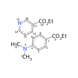 CCOC(=O)c1ccc(N(C)C)cc1.CCOC(=O)c1cccnc1